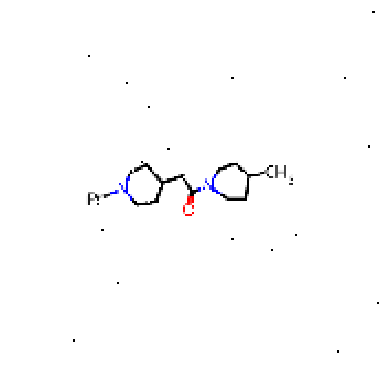 CC1CCN(C(=O)CC2CCN(C(C)C)CC2)CC1